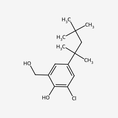 CC(C)(C)CC(C)(C)c1cc(Cl)c(O)c(CO)c1